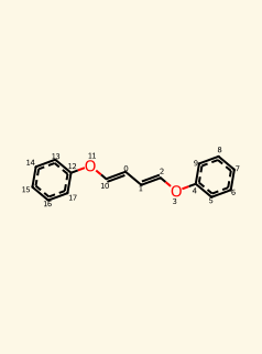 C(/C=C/Oc1ccccc1)=C\Oc1ccccc1